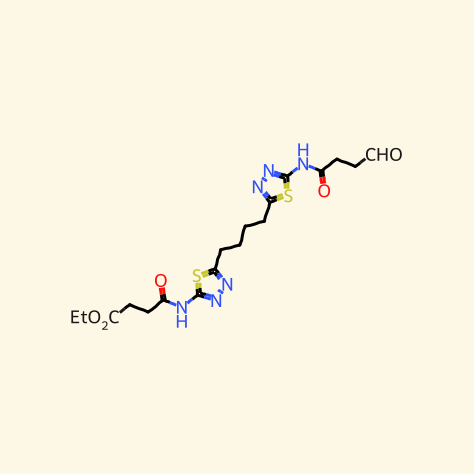 CCOC(=O)CCC(=O)Nc1nnc(CCCCc2nnc(NC(=O)CCC=O)s2)s1